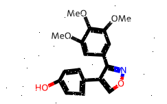 COc1cc(-c2nocc2-c2ccc(O)cc2)cc(OC)c1OC